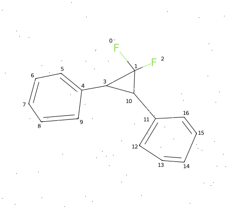 FC1(F)C(c2ccccc2)C1c1ccccc1